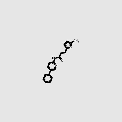 Cc1ccc(CCC(=O)Nc2ccc(-c3ccccc3)cn2)s1